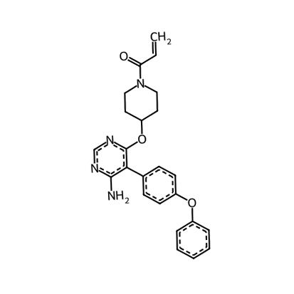 C=CC(=O)N1CCC(Oc2ncnc(N)c2-c2ccc(Oc3ccccc3)cc2)CC1